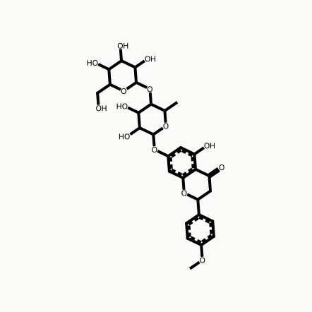 COc1ccc(C2CC(=O)c3c(O)cc(OC4OC(C)C(OC5OC(CO)C(O)C(O)C5O)C(O)C4O)cc3O2)cc1